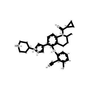 CC1CCc2c(ccc(-c3cnn(C4CCNCC4)c3)c2Oc2cccc(F)c2C#N)N1C(=O)C1CC1